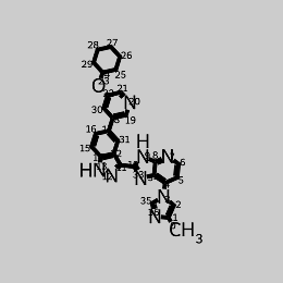 Cc1cn(-c2ccnc3[nH]c(-c4n[nH]c5ccc(-c6cncc(OC7CCCCC7)c6)cc45)nc23)cn1